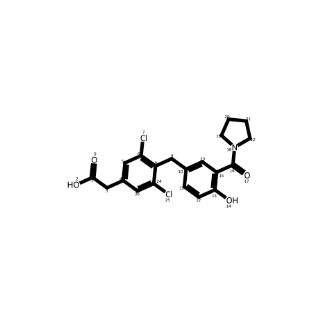 O=C(O)Cc1cc(Cl)c(Cc2ccc(O)c(C(=O)N3CCCC3)c2)c(Cl)c1